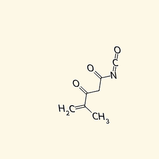 C=C(C)C(=O)CC(=O)N=C=O